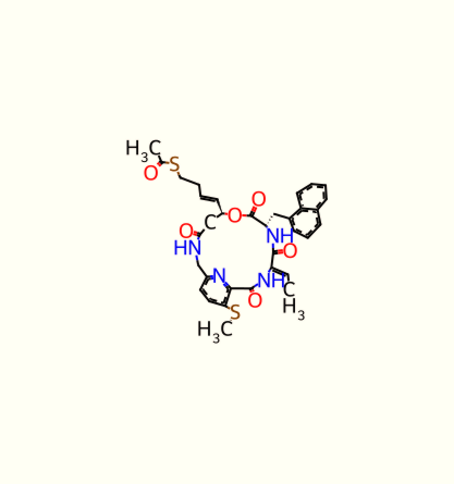 C/C=C1\NC(=O)c2nc(ccc2SC)CNC(=O)C[C@@H](/C=C/CCSC(C)=O)OC(=O)[C@H](Cc2cccc3ccccc23)NC1=O